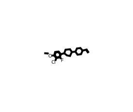 C=CC1CCC(C2CCC(c3ccc(OCC)c(Cl)c3F)CC2)CC1